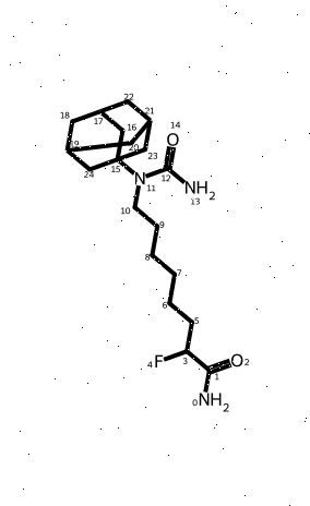 NC(=O)C(F)CCCCCCN(C(N)=O)C12CC3CC(CC(C3)C1)C2